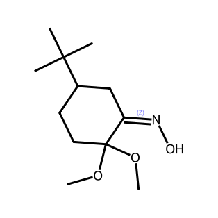 COC1(OC)CCC(C(C)(C)C)C/C1=N/O